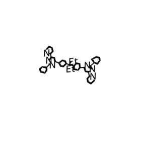 CCC(CC)(c1ccc(-c2cc(-c3ccccn3)nc(-c3ccccc3)n2)cc1)c1ccc(-c2cc(-c3ccccn3)nc(-c3ccccc3)n2)cc1